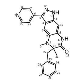 CN1c2cc3c(-c4ccncc4)n[nH]c3cc2NC(=O)C1(C)Cc1ccccc1